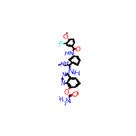 CNCC(Nc1ncnc2c(OC(N)=O)cccc12)c1cccc(NC(=O)c2ccc(OC)c(F)c2)c1